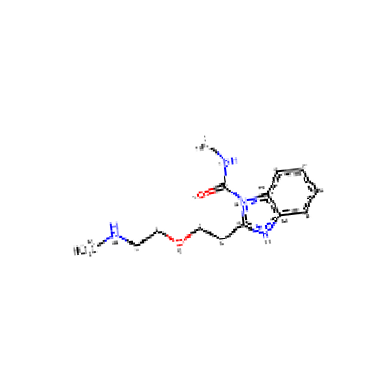 CCCNC(=O)n1c(CCOCCNC(=O)O)nc2ccccc21